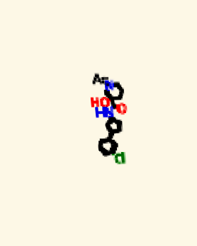 CC(=O)N1CCCC(O)(C(=O)NC2CCC(c3cccc(Cl)c3)C2)C1